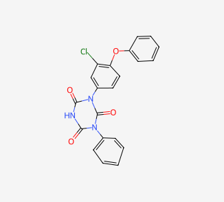 O=c1[nH]c(=O)n(-c2ccc(Oc3ccccc3)c(Cl)c2)c(=O)n1-c1ccccc1